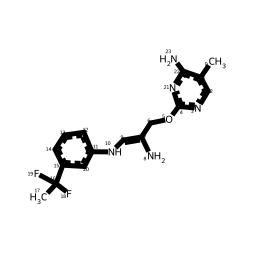 Cc1cnc(OC/C(N)=C/Nc2cccc(C(C)(F)F)c2)nc1N